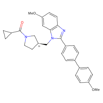 COc1ccc(-c2ccc(-c3nc4ccc(OC)cc4n3C[C@H]3CCN(C(=O)C4CC4)C3)cc2)cc1